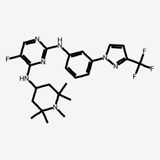 CN1C(C)(C)CC(Nc2nc(Nc3cccc(-n4ccc(C(F)(F)F)n4)c3)ncc2F)CC1(C)C